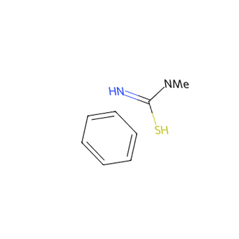 CNC(=N)S.c1ccccc1